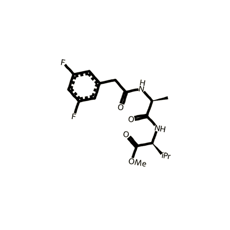 COC(=O)[C@@H](NC(=O)[C@H](C)NC(=O)Cc1cc(F)cc(F)c1)C(C)C